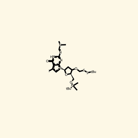 CN(C)/C=N/c1nc2c(c(I)cn2[C@H]2CC(OCSSC(C)(C)C)[C@@H](CO[Si](C)(C)C(C)(C)C)O2)c(=O)[nH]1